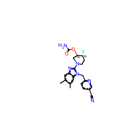 Cc1cc2nc(N3CC[C@@H](F)[C@H](OC(N)=O)C3)n(Cc3ccc(C#N)cn3)c2cc1C